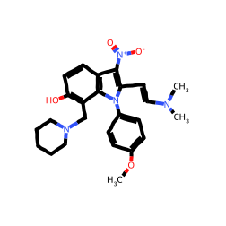 COc1ccc(-n2c(C=CN(C)C)c([N+](=O)[O-])c3ccc(O)c(CN4CCCCC4)c32)cc1